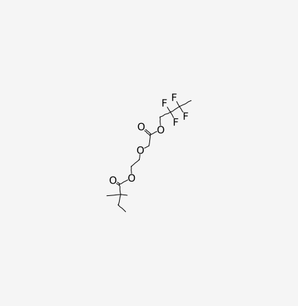 CCC(C)(C)C(=O)OCCOCC(=O)OCC(F)(F)C(C)(F)F